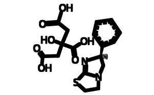 O=C(O)CC(O)(CC(=O)O)C(=O)O.c1ccc([C@H]2CN3CCSC3=N2)cc1